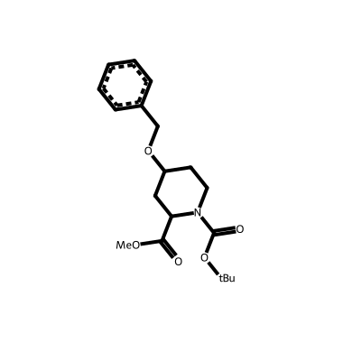 COC(=O)C1CC(OCc2ccccc2)CCN1C(=O)OC(C)(C)C